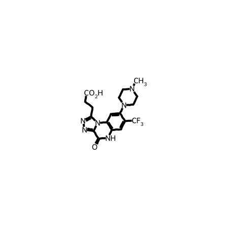 CN1CCN(c2cc3c(cc2C(F)(F)F)[nH]c(=O)c2nnc(CCC(=O)O)n23)CC1